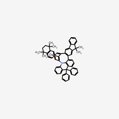 Cc1cc2c(-c3ccc4c(c3)C(C)(C)CCC4(C)C)c(c1)N1c3ccccc3C(c3ccccc3)(c3ccccc3)c3cccc(c31)-c1cc3c(cc1-2)-c1ccccc1C3(C)C